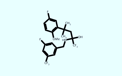 COc1ccc(F)cc1C(C)(C)CC(O)(NCc1cc(F)cc(C(F)(F)F)c1)C(F)(F)F